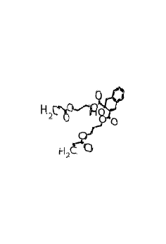 C=CC(=O)OCCCOC(=O)C1=Cc2ccccc2CC1(O)C(=O)OCCOC(=O)C=C